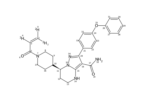 [2H]C([2H])=C([2H])C(=O)N1CCC([C@@H]2CCNc3c(C(N)=O)c(-c4ccc(Oc5ccccc5)cc4)nn32)CC1